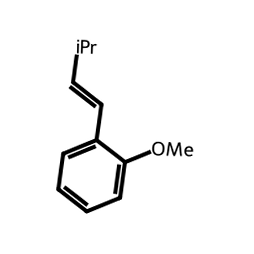 COc1ccccc1C=CC(C)C